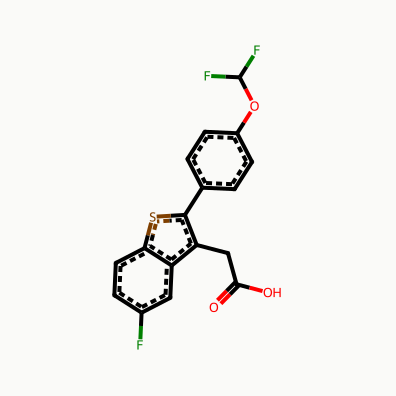 O=C(O)Cc1c(-c2ccc(OC(F)F)cc2)sc2ccc(F)cc12